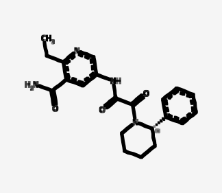 CCc1ncc(NC(=O)C(=O)N2CCCC[C@H]2c2ccccc2)cc1C(N)=O